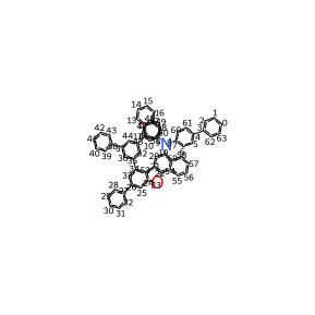 c1ccc(-c2ccc(N(c3ccc4ccccc4c3)c3cc4c(oc5cc(-c6ccccc6)cc(-c6cc(-c7ccccc7)cc(-c7ccccc7)c6)c54)c4ccccc34)cc2)cc1